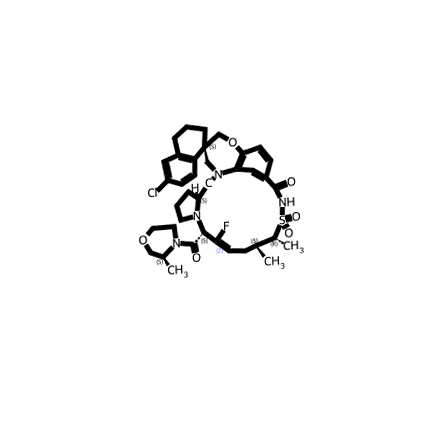 C[C@@H]1[C@@H](C)C/C=C(\F)[C@H](C(=O)N2CCOC[C@@H]2C)N2CCC[C@H]2CN2C[C@@]3(CCCc4cc(Cl)ccc43)COc3ccc(cc32)C(=O)NS1(=O)=O